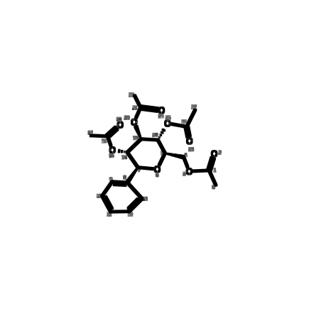 CC(=O)OC[C@H]1O[C@@H](c2ccccc2)[C@H](OC(C)=O)[C@@H](OC(C)=O)[C@@H]1OC(C)=O